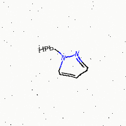 [PbH][n]1cccn1